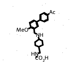 COc1ccc(-c2ccc(C(C)=O)cc2)cc1CNC1CCC(CNC(=O)O)CC1